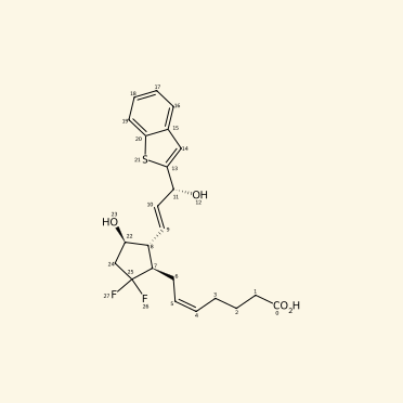 O=C(O)CCC/C=C\C[C@@H]1[C@@H](/C=C/[C@@H](O)c2cc3ccccc3s2)[C@H](O)CC1(F)F